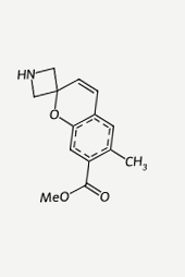 COC(=O)c1cc2c(cc1C)C=CC1(CNC1)O2